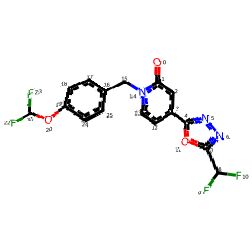 O=c1cc(-c2nnc(C(F)F)o2)ccn1Cc1ccc(OC(F)F)cc1